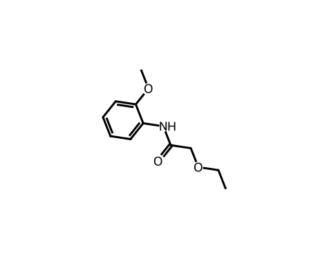 CCOCC(=O)Nc1ccccc1OC